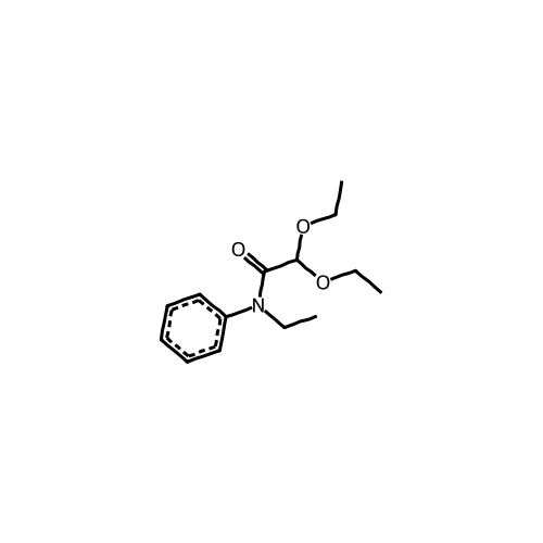 CCOC(OCC)C(=O)N(CC)c1ccccc1